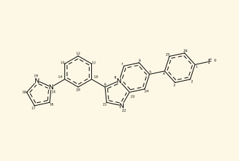 Fc1ccc(-c2ccn3c(-c4cccc(-n5cccn5)c4)cnc3c2)cc1